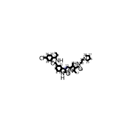 CCC(NC(=O)c1ccc2c(c1)/C(=C/c1[nH]c(C)c(C(=O)NCCN3CCCC3)c1C)C(=O)N2)c1ccc(Cl)cc1